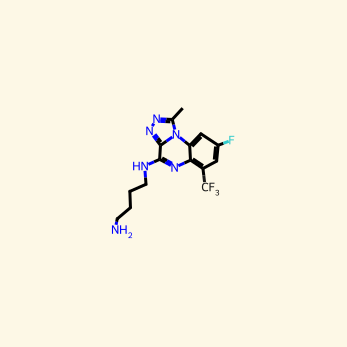 Cc1nnc2c(NCCCCN)nc3c(C(F)(F)F)cc(F)cc3n12